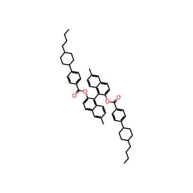 CCCCC1CCC(c2ccc(C(=O)Oc3ccc4cc(C)ccc4c3-c3c(OC(=O)c4ccc(C5CCC(CCCC)CC5)cc4)ccc4cc(C)ccc34)cc2)CC1